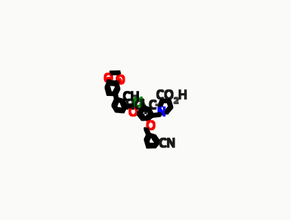 Cc1c(COc2cc(OCc3cccc(C#N)c3)c(CN3CCC[C@@H](C(=O)O)[C@H]3C(=O)O)cc2Cl)cccc1-c1ccc2c(c1)OCCO2